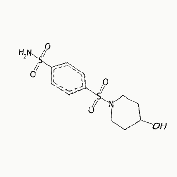 NS(=O)(=O)c1ccc(S(=O)(=O)N2CCC(O)CC2)cc1